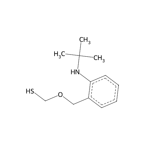 CC(C)(C)Nc1ccccc1COCS